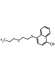 CCCSCCSc1ccc(O)c2ccccc12